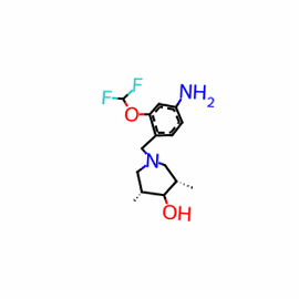 C[C@@H]1CN(Cc2ccc(N)cc2OC(F)F)C[C@H](C)C1O